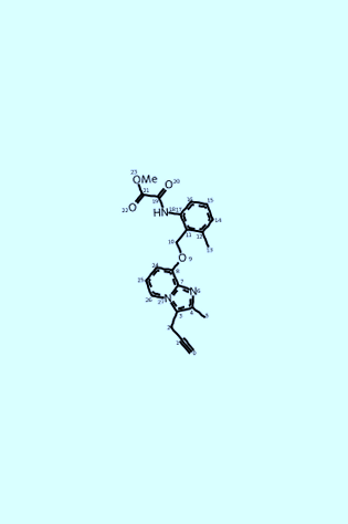 C#CCc1c(C)nc2c(OCc3c(C)cccc3NC(=O)C(=O)OC)cccn12